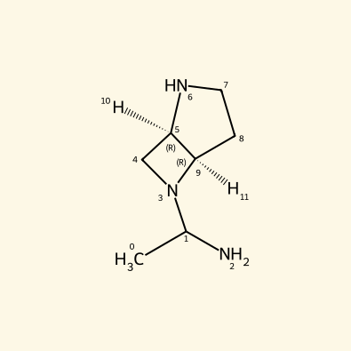 CC(N)N1C[C@H]2NCC[C@H]21